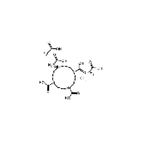 CC(=O)O.CC(=O)O.CC(=O)O.CC1CN(C(=O)O)CCN(C(=O)O)CCNCCN1C(=O)O